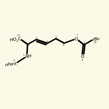 CCCCCNC(/C=C/CCOC(=O)C(C)(C)C)C(=O)O